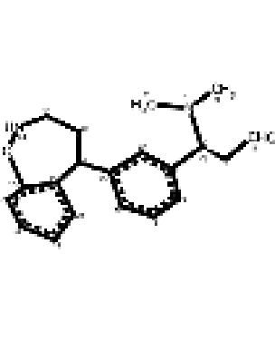 CN(C)[C@@H](CC=O)c1cccc(C2CCNOc3ccccc32)c1